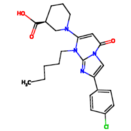 CCCCCn1c(N2CCC[C@H](C(=O)O)C2)cc(=O)n2cc(-c3ccc(Cl)cc3)nc12